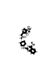 CN(C)c1nc(N[C@H]2CC[C@@H](CNCc3scc(S(C)(=O)=O)c3Cl)CC2)nc2ccccc12